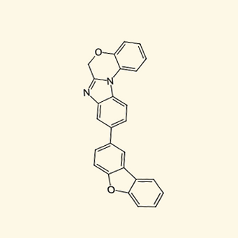 c1ccc2c(c1)OCc1nc3cc(-c4ccc5oc6ccccc6c5c4)ccc3n1-2